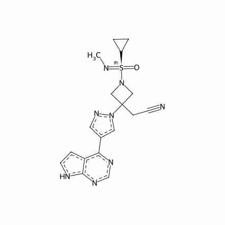 CN=[S@@](=O)(C1CC1)N1CC(CC#N)(n2cc(-c3ncnc4[nH]ccc34)cn2)C1